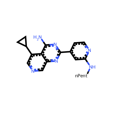 CCCCCNc1cc(-c2nc(N)c3c(C4CC4)cncc3n2)ccn1